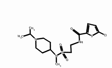 CC(C)N1CCC(N(C)S(=O)(=O)CCNC(=O)c2ccc(Cl)s2)CC1